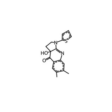 Cc1cc2c(cc1C)C(=O)C1(O)CCN(c3cccs3)C1=N2